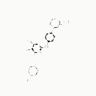 C[C@@H]1CN(c2ccc(Nc3nc(Cl)c(F)c(OC[C@H]4CC[C@H](O)CC4)n3)cc2)C[C@H](C)O1